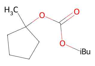 CCC(C)OC(=O)OC1(C)CCCC1